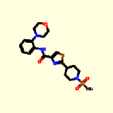 CCCCS(=O)(=O)N1CCC(c2nc(C(=O)Nc3ccccc3N3CCOCC3)cs2)CC1